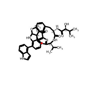 COC(=O)c1nc2oc1[C@]13c4cc(ccc4OC1Nc1c(-c4cccc5[nH]ccc45)cccc13)C[C@H](NC(=O)[C@@H](O)C(C)C)C(=O)N[C@H]2C(C)C